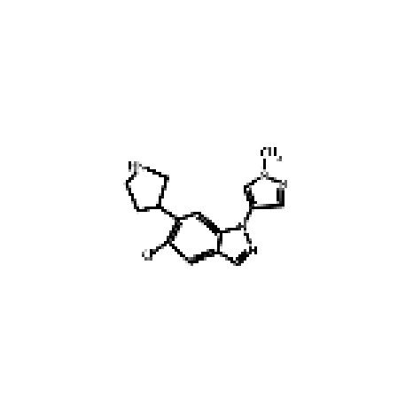 Cn1cc(-n2ncc3cc(Cl)c(C4CCNC4)cc32)cn1